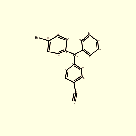 C#Cc1ccc(N(c2ccccc2)c2ccc(Br)cc2)cc1